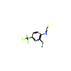 CCc1cc(C(F)(F)F)ccc1N=C=S